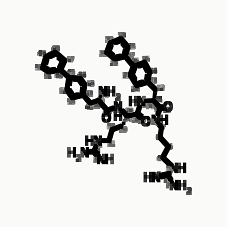 N=C(N)NCCCCNC(=O)[C@H](Cc1ccc(-c2ccccc2)cc1)NC(=O)[C@H](CCCNC(=N)N)NC(=O)[C@@H](N)Cc1ccc(-c2ccccc2)cc1